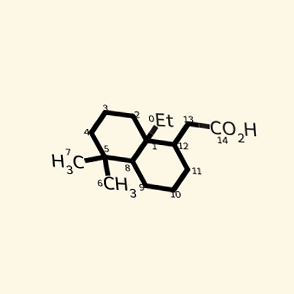 CCC12CCCC(C)(C)C1CCCC2CC(=O)O